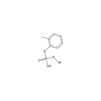 Cc1ccccc1OP(O)(=S)OC(C)C